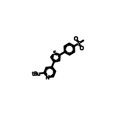 CC(C)(C)c1cc(-c2csc(-c3ccc(S(C)(=O)=O)cc3)c2)ccn1